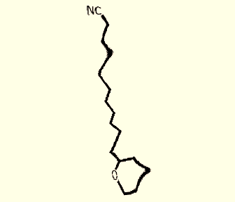 N#CCCCCCCCCCCC1CCCCO1